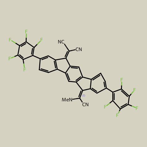 CN/C(C#N)=C1/c2cc(-c3c(F)c(F)c(F)c(F)c3F)ccc2-c2cc3c(cc21)-c1ccc(-c2c(F)c(F)c(F)c(F)c2F)cc1C3=C(C#N)C#N